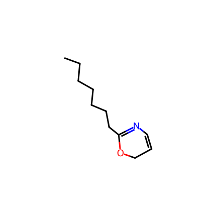 CCCCCCCC1=NC=CCO1